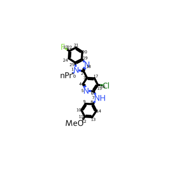 CCCn1c(-c2cnc(Nc3ccc(OC)cc3)c(Cl)c2)nc2ccc(F)cc21